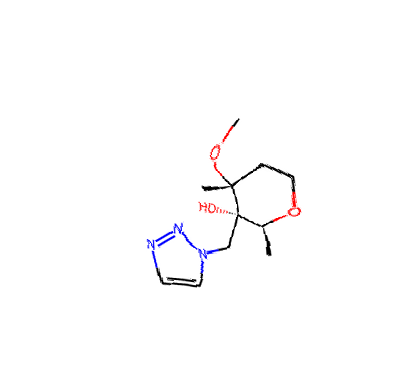 CO[C@]1(C)CCO[C@@H](C)[C@@]1(O)Cn1ccnn1